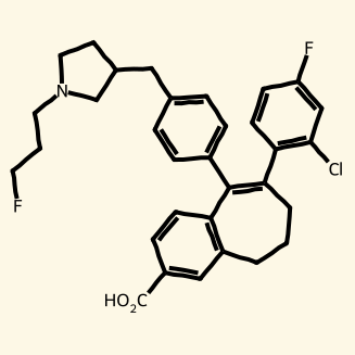 O=C(O)c1ccc2c(c1)CCCC(c1ccc(F)cc1Cl)=C2c1ccc(CC2CCN(CCCF)C2)cc1